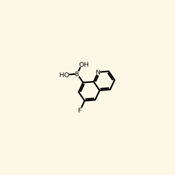 OB(O)c1cc(F)cc2cccnc12